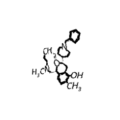 C=CCN(C)C[C@@H]1O[C@H](C2CCN(Cc3ccccc3)CC2)Cc2c1ccc(C)c2O